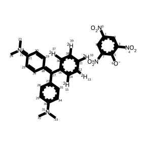 O=[N+]([O-])c1cc([N+](=O)[O-])c([O-])c([N+](=O)[O-])c1.[2H]c1c([2H])c([2H])c(C(=C2C=CC(=[N+](C)C)C=C2)c2ccc(N(C)C)cc2)c([2H])c1[2H]